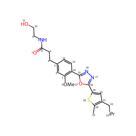 COc1cc(CCC(=O)NCCO)ccc1-c1nnc(-c2cc(CC(C)C)c(C)s2)o1